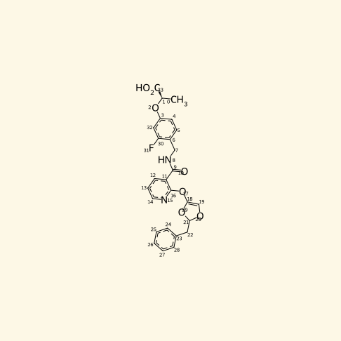 C[C@@H](Oc1ccc(CNC(=O)c2cccnc2OC2=COC(Cc3ccccc3)O2)c(F)c1)C(=O)O